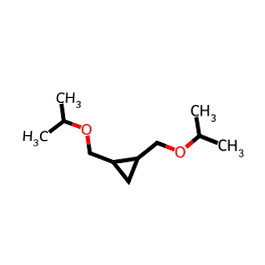 CC(C)OCC1CC1COC(C)C